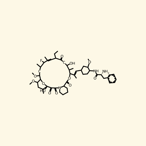 CCC1/C=C(\C)C(F)C(C)CC(OC)C2OC(O)(C(=O)C(=O)N3CCCCC3C(=O)OC(C(C)=CC3CCC(NC(=O)[C@H](N)Cc4ccccc4)C(OC)C3)C(C)C(O)CC1=O)C(C)CC2OC